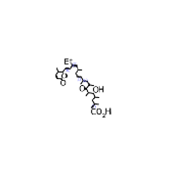 CCC(=C/C(C)C/C=C/C(C)=C/C(C)C(=O)C(C)C(O)C(C)C/C(C)=C/C(=O)O)/C=C/C1OC(=O)C=CC1C